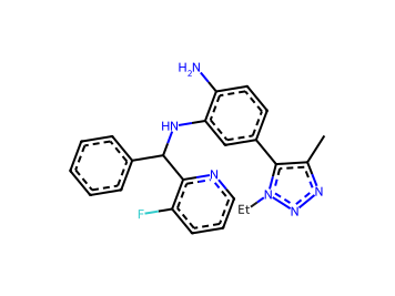 CCn1nnc(C)c1-c1ccc(N)c(NC(c2ccccc2)c2ncccc2F)c1